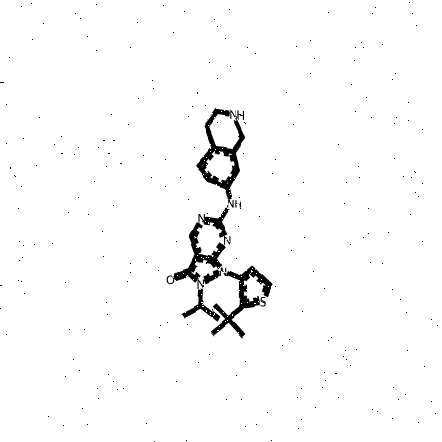 CC(C)n1c(=O)c2cnc(Nc3ccc4c(c3)CNCC4)nc2n1-c1ccsc1C(C)(C)C